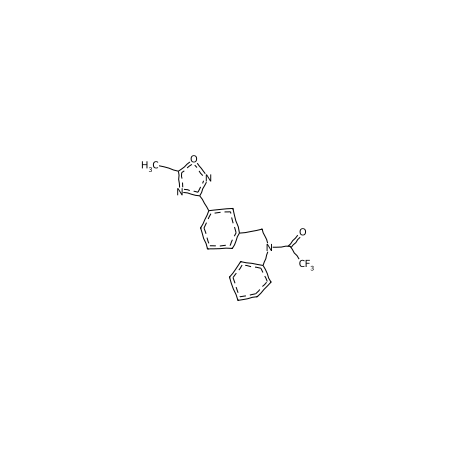 Cc1nc(-c2cccc(CN(C(=O)C(F)(F)F)c3ccccc3)c2)no1